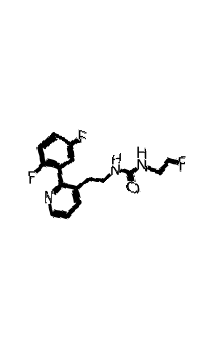 O=C(NCCF)NCCc1cccnc1-c1cc(F)ccc1F